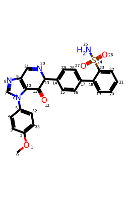 COc1ccc(-n2cnc3c2C(=O)C(c2ccc(-c4ccccc4S(N)(=O)=O)cc2)N=C3)cc1